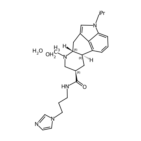 CC(C)n1cc2c3c(cccc31)[C@H]1C[C@@H](C(=O)NCCCn3ccnc3)CN(C)[C@@H]1C2.O.O